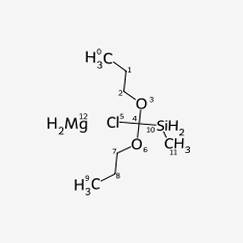 CCCOC(Cl)(OCCC)[SiH2]C.[MgH2]